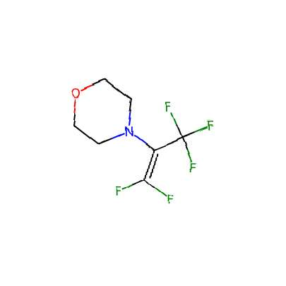 FC(F)=C(N1CCOCC1)C(F)(F)F